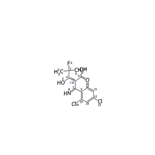 CC(C)(F)/C(O)=C(/C(=N)c1ccc(Cl)cc1Cl)C(=O)O